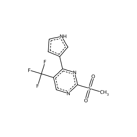 CS(=O)(=O)c1ncc(C(F)(F)F)c(-c2cc[nH]c2)n1